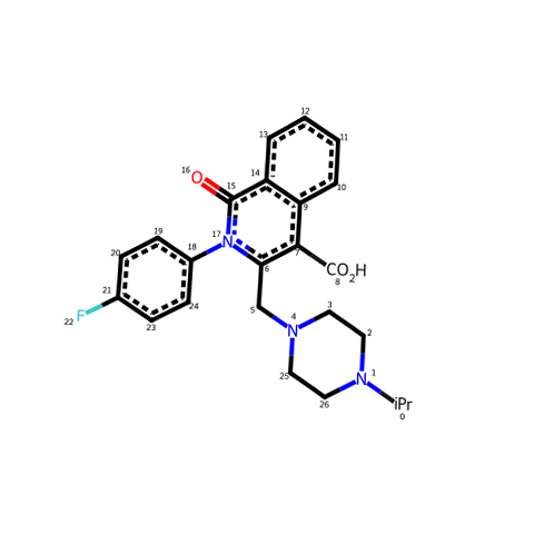 CC(C)N1CCN(Cc2c(C(=O)O)c3ccccc3c(=O)n2-c2ccc(F)cc2)CC1